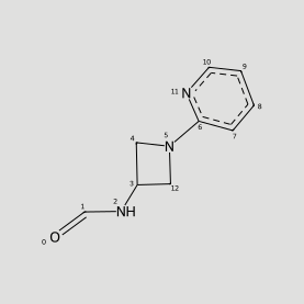 O=CNC1CN(c2ccccn2)C1